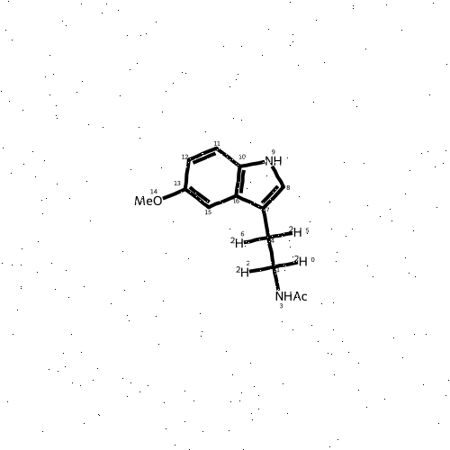 [2H]C([2H])(NC(C)=O)C([2H])([2H])c1c[nH]c2ccc(OC)cc12